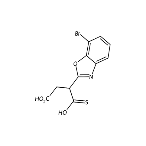 O=C(O)CC(C(O)=S)c1nc2cccc(Br)c2o1